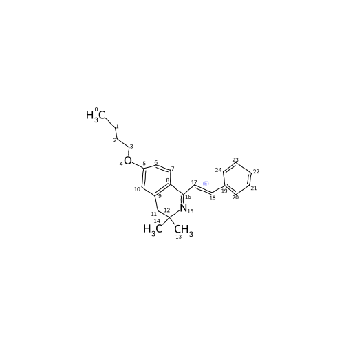 CCCCOc1ccc2c(c1)CC(C)(C)N=C2/C=C/c1ccccc1